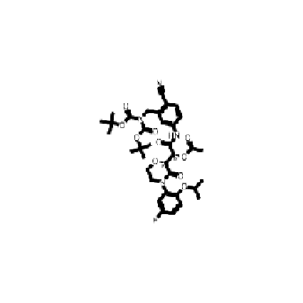 CC(=O)O[C@@H](C(=O)Nc1ccc(C#N)c(CN(C(=O)OC(C)(C)C)C(=O)OC(C)(C)C)c1)[C@H]1OCCN(c2cc(F)ccc2OC(C)C)C1=O